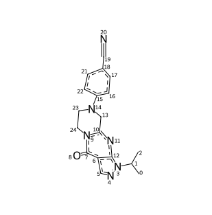 CC(C)n1ncc2c(=O)n3c(nc21)CN(c1ccc(C#N)cc1)CC3